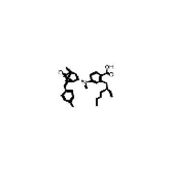 CCCCC(CC)Cc1cc(N(C)C)ccc1C(=O)O.Cc1ccc(C=C2C(=O)C3(C)CCC2C3(C)C)cc1